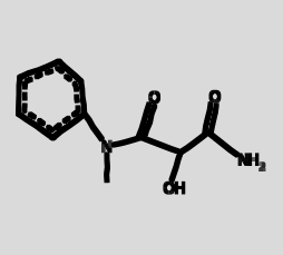 CN(C(=O)C(O)C(N)=O)c1ccccc1